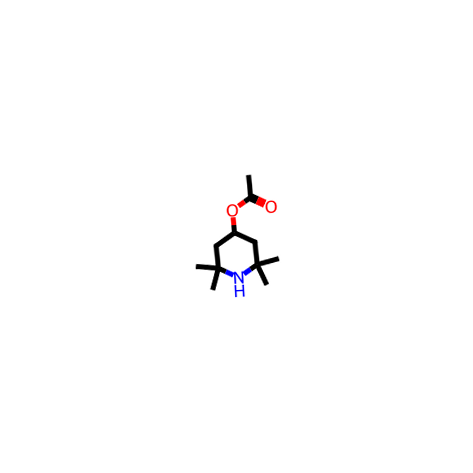 CC(=O)OC1CC(C)(C)NC(C)(C)C1